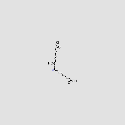 O=C(O)CCCCCCC/C=C\C[C@H](O)CCCCCCC(=O)CCl